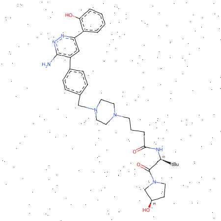 CC(C)(C)[C@H](NC(=O)CCCN1CCN(Cc2ccc(-c3cc(-c4ccccc4O)nnc3N)cc2)CC1)C(=O)N1CC[C@@H](O)C1